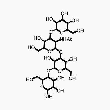 CC(=O)NC1C(OC2C(O)[C@H](O[C@@H]3C(CO)OC(O)C(O)C3O)OC(CO)[C@@H]2O)OC(CO)[C@@H](O)C1O[C@@H]1OC(CO)[C@H](O)C(O)C1O